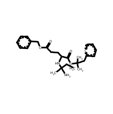 CCC(C)(N)NC(CCC(=O)OCc1ccccc1)C(=O)OC(C)(C)Cc1ccccc1